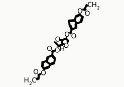 C=CC(=O)Oc1ccc2cc(C(=O)OC3COC4[C@@H]3OC[C@@H]4OC(=O)c3ccc4cc(OC(=O)C=C)ccc4c3)ccc2c1